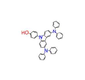 Oc1ccc(-n2c3ccc(N(c4ccccc4)c4ccccc4)cc3c3cc(N(c4ccccc4)c4ccccc4)ccc32)cc1